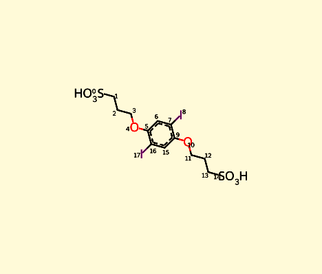 O=S(=O)(O)CCCOc1cc(I)c(OCCCS(=O)(=O)O)cc1I